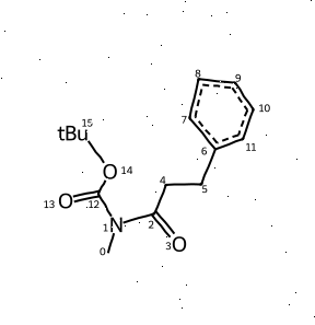 CN(C(=O)CCc1ccccc1)C(=O)OC(C)(C)C